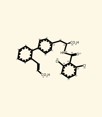 O=C(O)C=Cc1ccccc1-c1ccc(C[C@H](NC(=O)c2c(Cl)cccc2Cl)C(=O)O)cc1